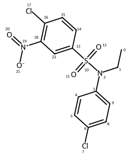 CCN(c1ccc(Cl)cc1)S(=O)(=O)c1ccc(Cl)c([N+](=O)[O-])c1